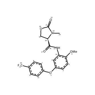 COc1ccc(Oc2ccc(C(F)(F)F)cc2)cc1NC(=O)[C@H]1COC(=O)N1C